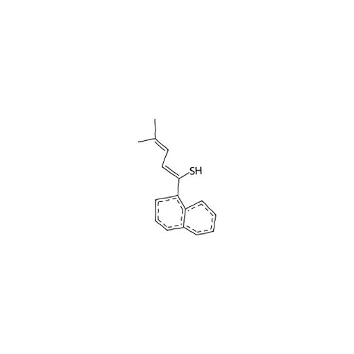 CC(C)=C/C=C(\S)c1cccc2ccccc12